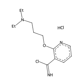 CCN(CC)CCCOc1ncccc1C(=N)Cl.Cl